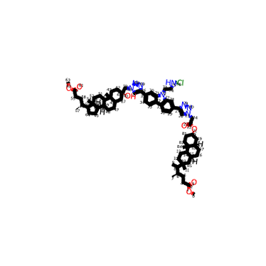 COC(=O)CC[C@@H](C)C(C)C1(C)CCC2[C@@H](CC[C@H]3C[C@H](OC(=O)Cn4cc(-c5ccc6c7ccc(-c8cn(C[C@]9(O)CCC%10(C)C(CC[C@@H]%11C%10CCC%10(C)C([C@H](C)CCC(=O)OC)CC[C@@H]%11%10)C9)nn8)cc7n(CCNCl)c6c5)nn4)CCC23C)C1